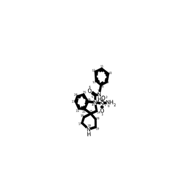 NS(=O)(=O)[N+]1(C(=O)Nc2ccccc2)CC2(CCNCC2)c2ccccc21